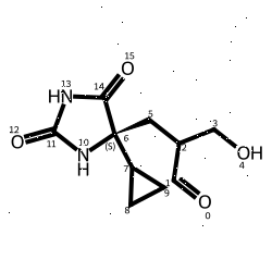 O=CC(CO)C[C@@]1(C2CC2)NC(=O)NC1=O